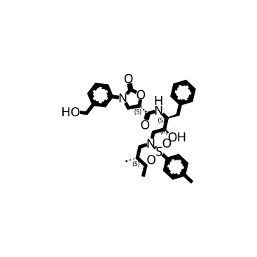 CC[C@H](C)CN(C[C@@H](O)[C@H](Cc1ccccc1)NC(=O)[C@@H]1CN(c2cccc(CO)c2)C(=O)O1)S(=O)(=O)c1ccc(C)cc1